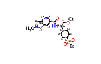 CCOC[C@H](NC(=O)c1cnc2c(c1)CN(C)C2)c1ccc(S(=O)(=O)CC)cc1